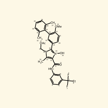 CCC(F)(F)c1cccc(NC(=O)c2c(C)n(COC(C)=O)c(-c3ccc(OC)c(-c4c(C)cccc4C)c3)[n+]2O)c1